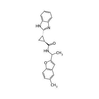 Cc1ccc2oc(C(C)NC(=O)[C@H]3C[C@@H]3c3nc4ccccc4[nH]3)cc2c1